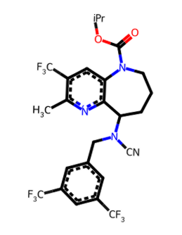 Cc1nc2c(cc1C(F)(F)F)N(C(=O)OC(C)C)CCCC2N(C#N)Cc1cc(C(F)(F)F)cc(C(F)(F)F)c1